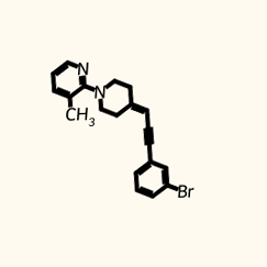 Cc1cccnc1N1CCC(=CC#Cc2cccc(Br)c2)CC1